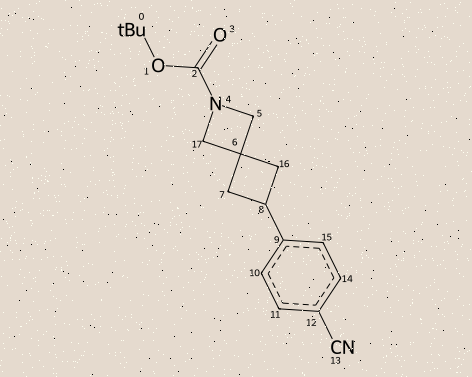 CC(C)(C)OC(=O)N1CC2(CC(c3ccc(C#N)cc3)C2)C1